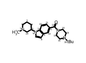 CN1CCCC(n2ccc3cc(C(=O)N4CCN(C(C)(C)C)CC4)ccc32)C1